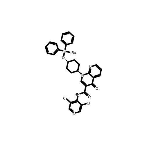 CC(C)(C)[Si](O[C@H]1CC[C@H](n2cc(C(=O)Nc3c(Cl)cncc3Cl)c(=O)c3cccnc32)CC1)(c1ccccc1)c1ccccc1